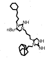 CCCC[C@H]1CN(CCCC[C@H]2CNC(=N)N2CCC23CC4CC(CC(C4)C2)C3)C(=N)N1CCCCC1CCCCC1